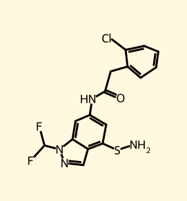 NSc1cc(NC(=O)Cc2ccccc2Cl)cc2c1cnn2C(F)F